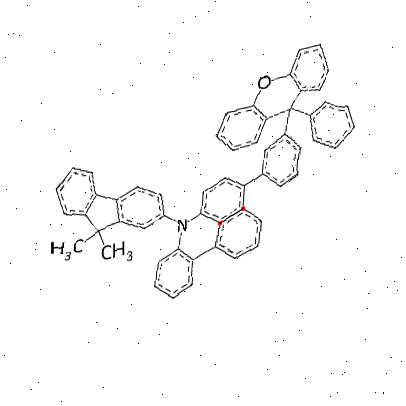 CC1(C)c2ccccc2-c2ccc(N(c3ccc(-c4cccc(C5(c6ccccc6)c6ccccc6Oc6ccccc65)c4)cc3)c3ccccc3-c3ccccc3)cc21